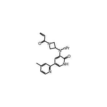 C=CC(=O)N1CC(N(CCC)c2cc(-c3cc(C)ccn3)c[nH]c2=O)C1